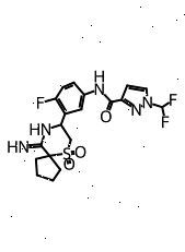 N=C1NC(c2cc(NC(=O)c3ccn(C(F)F)n3)ccc2F)CS(=O)(=O)C12CCCC2